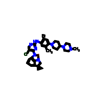 CCc1cc(N2CCC(N3CCN(C)CC3)CC2)c(C)cc1Nc1ncc(Cl)c(N2SN3CC4(CC4)c4cccc2c43)n1